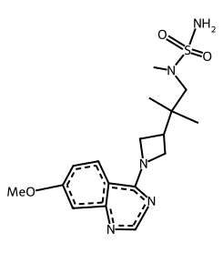 COc1ccc2c(N3CC(C(C)(C)CN(C)S(N)(=O)=O)C3)ncnc2c1